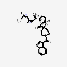 C=C(/C=C(F)\C=C(/C)F)[C@@H]1CC[C@H]2OC3(CCN(C(=O)c4cnn5ccccc45)CC3)C(=O)N21